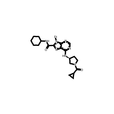 CCn1c(C(=O)NC2CCCCC2)nc2c(N[C@H]3CCN(C(=O)C4CC4)C3)ncnc21